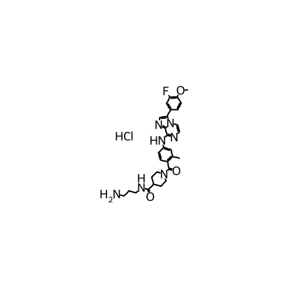 COc1ccc(-c2cnc3c(Nc4ccc(C(=O)N5CCC(C(=O)NCCCN)CC5)c(C)c4)nccn23)cc1F.Cl